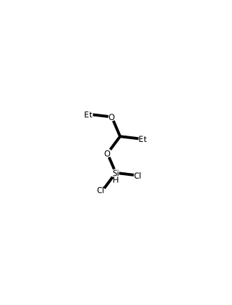 CCOC(CC)O[SiH](Cl)Cl